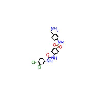 NCc1ccc(NS(=O)(=O)c2ccc(NC(=O)Nc3ccc(Cl)c(Cl)c3)cc2)cc1